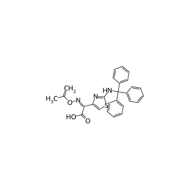 C=C(C)ON=C(C(=O)O)c1csc(NC(c2ccccc2)(c2ccccc2)c2ccccc2)n1